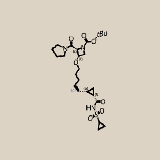 CC(C)(C)OC(=O)N1C[C@@H](OCCC/C=C\[C@@H]2C[C@@H]2C(=O)NS(=O)(=O)C2CC2)[C@H]1C(=O)N1CCCC1